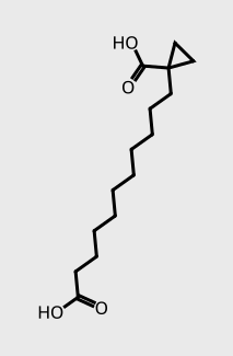 O=C(O)CCCCCCCCCCC1(C(=O)O)CC1